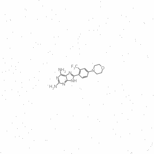 Nc1nc(N)c2nc(-c3ccc(N4CCOCC4)cc3C(F)(F)F)[nH]c2n1